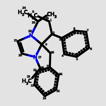 CCC(c1ccccc1)C1(Cc2ccccc2)N(CC)C=CN1C(C)C